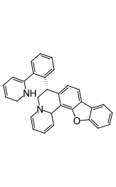 C1=CCNC(c2ccccc2[C@H]2CN3C=CC=CC3c3c2ccc2c3oc3ccccc32)=C1